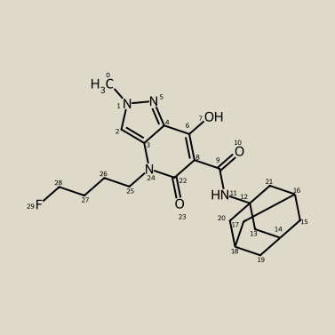 Cn1cc2c(n1)c(O)c(C(=O)NC13CC4CC(CC(C4)C1)C3)c(=O)n2CCCCF